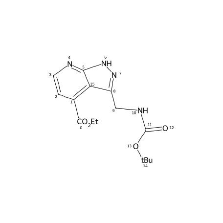 CCOC(=O)c1ccnc2[nH]nc(CNC(=O)OC(C)(C)C)c12